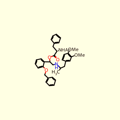 COc1ccc(CC(C)NCC(OC(=O)[C@H](Cc2ccccc2)NC(C)=O)c2ccccc2OCc2ccccc2)cc1OC